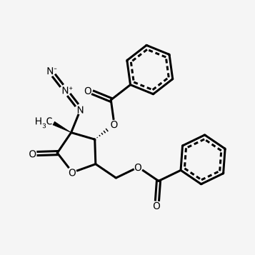 C[C@]1(N=[N+]=[N-])C(=O)OC(COC(=O)c2ccccc2)[C@H]1OC(=O)c1ccccc1